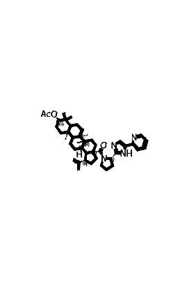 C=C(C)[C@@H]1CC[C@]2(C(=O)N3CCC[C@H]3c3ncc(-c4ccccn4)[nH]3)CC[C@]3(C)[C@H](CCC4[C@@]5(C)CC[C@H](OC(C)=O)C(C)(C)C5CC[C@]43C)C12